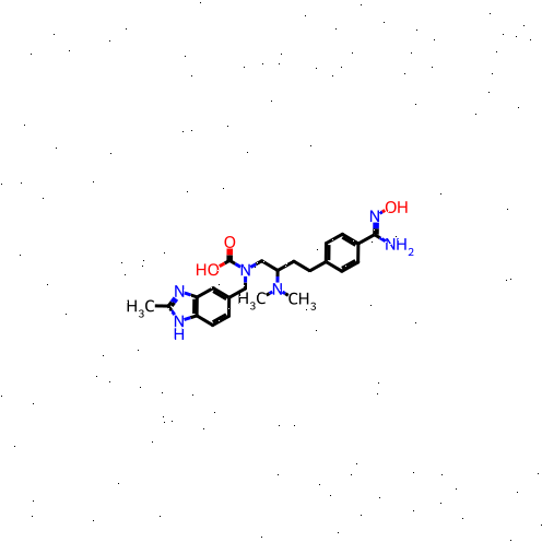 Cc1nc2cc(CN(CC(CCc3ccc(C(N)=NO)cc3)N(C)C)C(=O)O)ccc2[nH]1